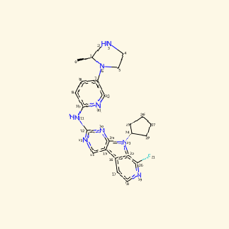 C[C@H]1CNCCN1c1ccc(Nc2ncc3c4ccnc(F)c4n(C4CCCC4)c3n2)nc1